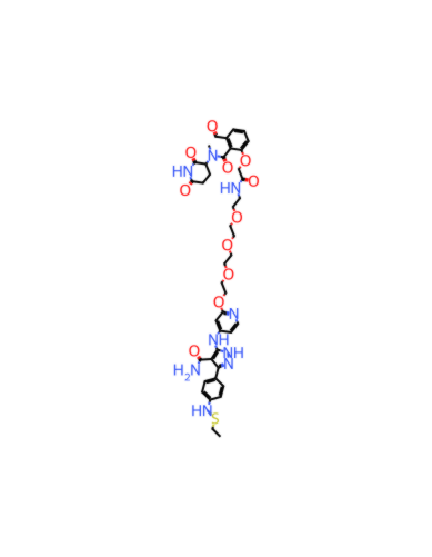 CCSNc1ccc(-c2n[nH]c(Nc3ccnc(OCCOCCOCCOCCNC(=O)COc4cccc(C=O)c4C(=O)N(C)C4CCC(=O)NC4=O)c3)c2C(N)=O)cc1